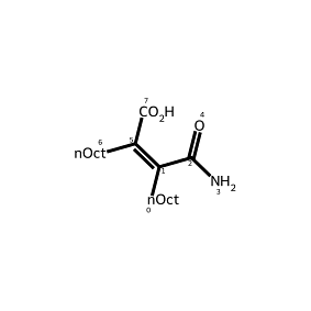 CCCCCCCC/C(C(N)=O)=C(\CCCCCCCC)C(=O)O